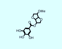 COC1COC2C(OC(=O)c3cc(O)c(O)c(O)c3)COC12